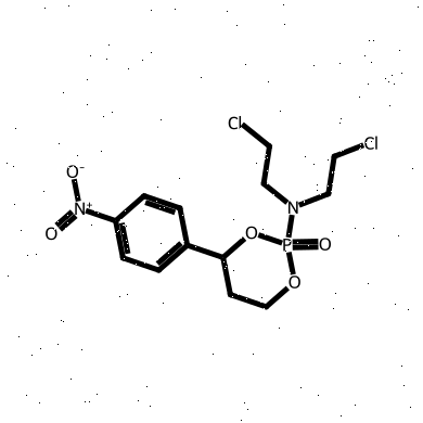 O=[N+]([O-])c1ccc(C2CCOP(=O)(N(CCCl)CCCl)O2)cc1